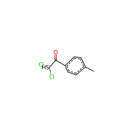 Cc1ccc(C(=O)[SiH](Cl)Cl)cc1